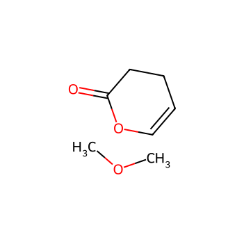 COC.O=C1CCC=CO1